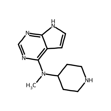 CN(c1ncnc2[nH]ccc12)C1CCNCC1